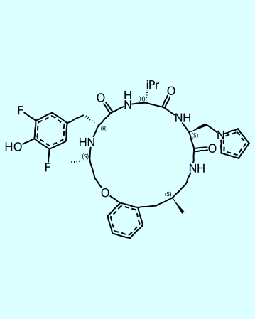 CC(C)[C@H]1NC(=O)[C@@H](Cc2cc(F)c(O)c(F)c2)N[C@@H](C)COc2ccccc2C[C@H](C)CNC(=O)[C@H](Cn2cccc2)NC1=O